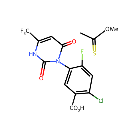 COC(C)=S.O=C(O)c1cc(-n2c(=O)cc(C(F)(F)F)[nH]c2=O)c(F)cc1Cl